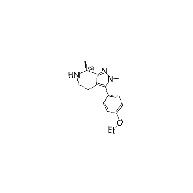 CCOc1ccc(-c2c3c(nn2C)[C@H](C)NCC3)cc1